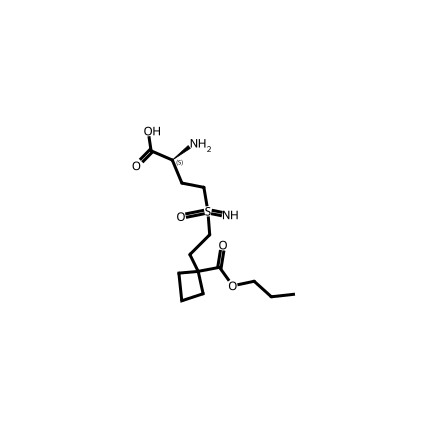 CCCOC(=O)C1(CCS(=N)(=O)CC[C@H](N)C(=O)O)CCC1